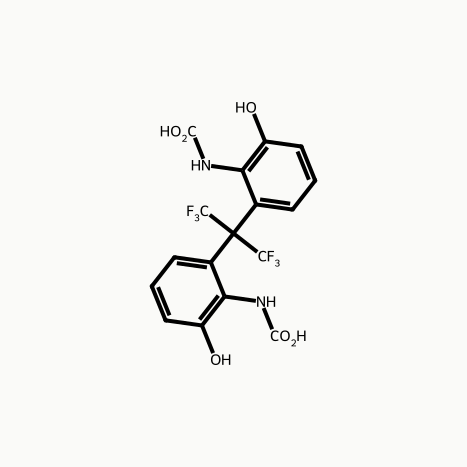 O=C(O)Nc1c(O)cccc1C(c1cccc(O)c1NC(=O)O)(C(F)(F)F)C(F)(F)F